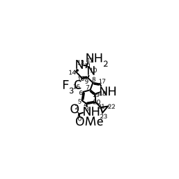 COC(=O)Nc1ccc2c(-c3nc(N)ncc3C(F)(F)F)c[nH]c2c1C1CC1